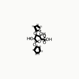 O=S(=O)(O)C1O[C@@H](Oc2ccccc2)[C@H](O)[C@@H](Oc2cccs2)[C@@H]1O